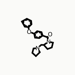 O=C(c1ccc(Oc2ccccc2)cc1)N1CCCC1CN1CCCC1